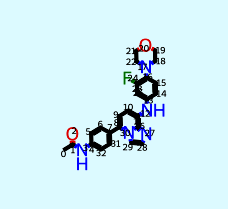 CC(=O)Nc1ccc(-c2ccc(Nc3ccc(N4CCOCC4)c(F)c3)c3nccn23)cc1